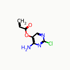 C=CC(=O)Oc1cnc(Cl)nc1N